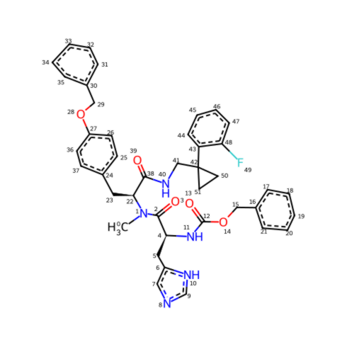 CN(C(=O)[C@H](Cc1cnc[nH]1)NC(=O)OCc1ccccc1)[C@@H](Cc1ccc(OCc2ccccc2)cc1)C(=O)NCC1(c2ccccc2F)CC1